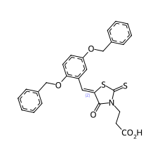 O=C(O)CCN1C(=O)/C(=C/c2cc(OCc3ccccc3)ccc2OCc2ccccc2)SC1=S